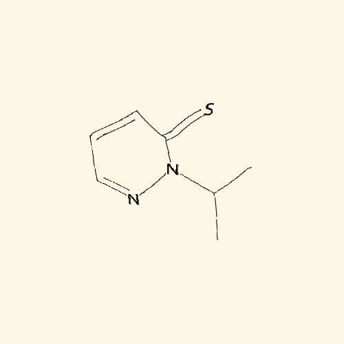 CC(C)n1ncccc1=S